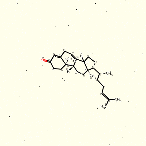 CC(C)=CCC[C@@H](C)[C@H]1CC[C@H]2C3=CCC4=CC(=O)CC[C@]4(C)[C@H]3CC[C@]12C